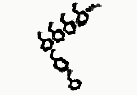 [Co+2].[Cu+2].[Ni+2].[O-]CC1C=CC=CO1.[O-]CC1C=CC=CO1.[O-]CC1C=CC=CO1.[O-]CC1C=CC=CO1.[O-]CC1C=CC=CO1.[O-]CC1C=CC=CO1